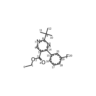 CCOC(=O)c1cnc(C(C)(C)C)nc1-c1cccc(F)c1